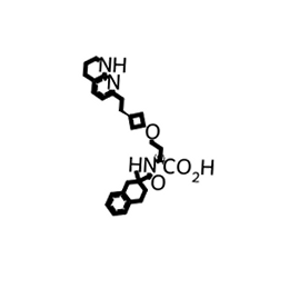 CC1(C(=O)N[C@@H](CCO[C@H]2C[C@H](CCc3ccc4c(n3)NCCC4)C2)C(=O)O)CCc2ccccc2C1